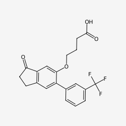 O=C(O)CCCOc1cc2c(cc1-c1cccc(C(F)(F)F)c1)CCC2=O